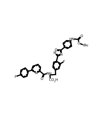 CC(C)(C)OC(=O)Nc1ccc(-c2nc(-c3ccc(CC(NC(=O)c4cccc(-c5ccc(F)cc5)n4)C(=O)O)cc3F)no2)cc1